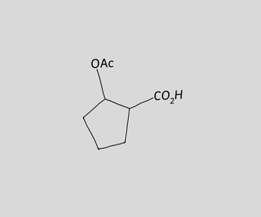 CC(=O)OC1CCCC1C(=O)O